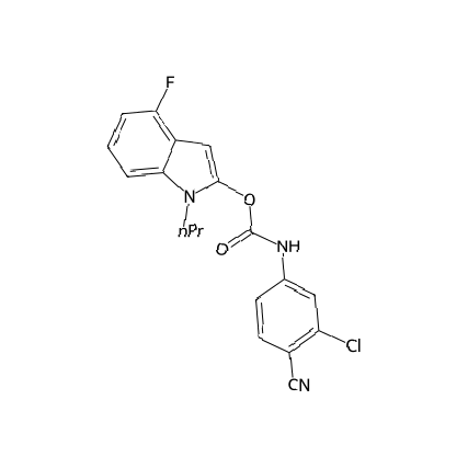 CCCn1c(OC(=O)Nc2ccc(C#N)c(Cl)c2)cc2c(F)cccc21